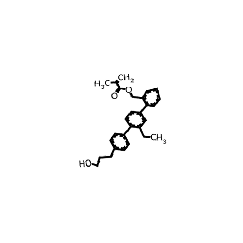 C=C(C)C(=O)OCc1ccccc1-c1ccc(-c2ccc(CCCO)cc2)c(CC)c1